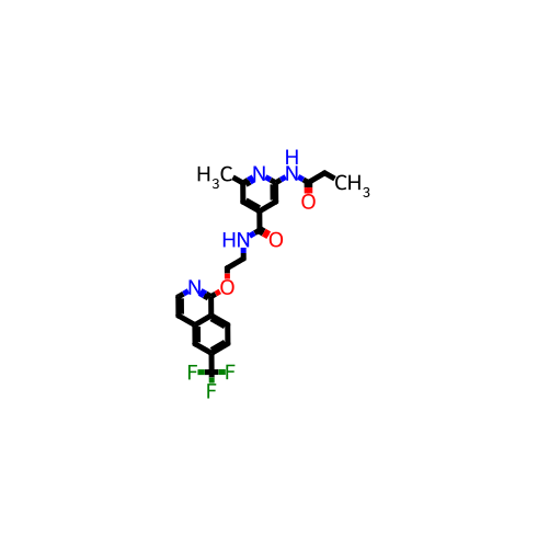 CCC(=O)Nc1cc(C(=O)NCCOc2nccc3cc(C(F)(F)F)ccc23)cc(C)n1